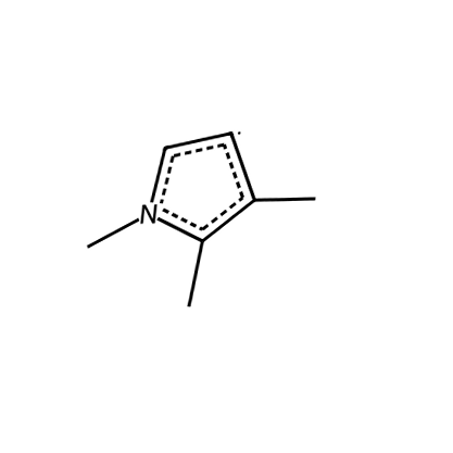 Cc1[c]cn(C)c1C